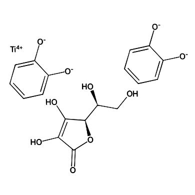 O=C1O[C@H]([C@@H](O)CO)C(O)=C1O.[O-]c1ccccc1[O-].[O-]c1ccccc1[O-].[Ti+4]